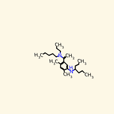 C=C(c1cc(NC(CCC)CCC)c(C)cc1C)N(CCC)CCCCC